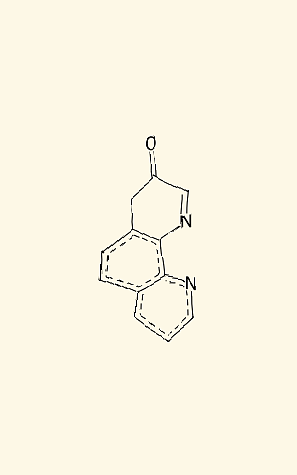 O=C1C=Nc2c(ccc3cccnc23)C1